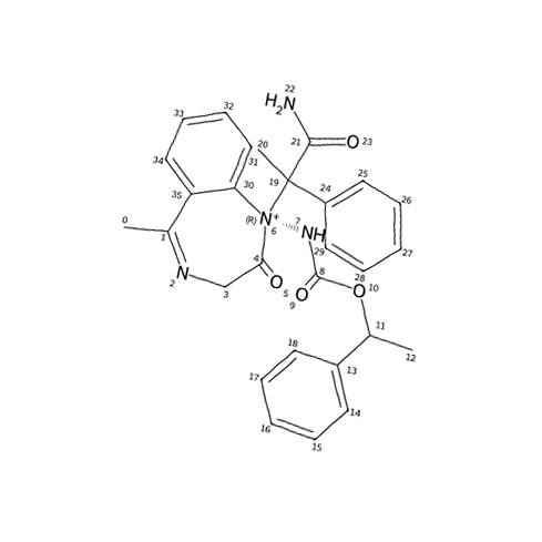 CC1=NCC(=O)[N@+](NC(=O)OC(C)c2ccccc2)(C(C)(C(N)=O)c2ccccc2)c2ccccc21